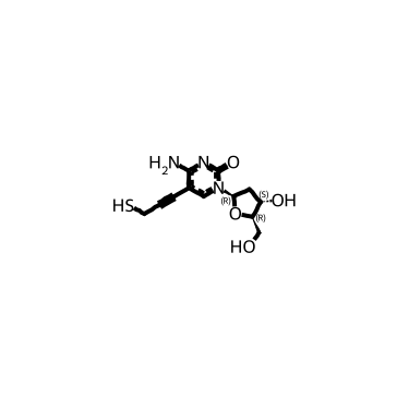 Nc1nc(=O)n([C@H]2C[C@H](O)[C@@H](CO)O2)cc1C#CCS